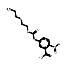 NCCOCCOC(=O)Oc1ccc([N+](=O)[O-])c(C(=O)O)c1